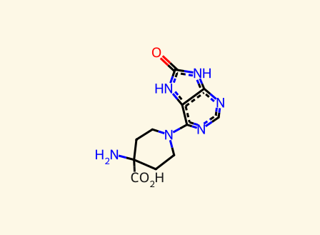 NC1(C(=O)O)CCN(c2ncnc3[nH]c(=O)[nH]c23)CC1